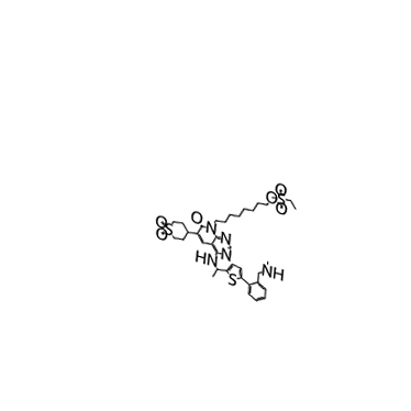 CCS(=O)(=O)OCCCCCCCCn1c(=O)c(C2CCS(=O)(=O)CC2)cc2c(NC(C)c3ccc(-c4ccccc4CNC)s3)ncnc21